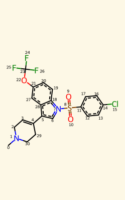 CN1CC=C(c2cn(S(=O)(=O)c3ccc(Cl)cc3)c3ccc(OC(F)(F)F)cc23)CC1